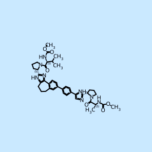 COC(=O)N[C@@H](C)C(=O)N1CCC[C@H]1c1ncc(-c2ccc(-c3ccc4c(c3)CCCc3[nH]c([C@@H]5CCCN5C(=O)[C@@H](NC(=O)OC)C(C)C)nc3-4)cc2)[nH]1